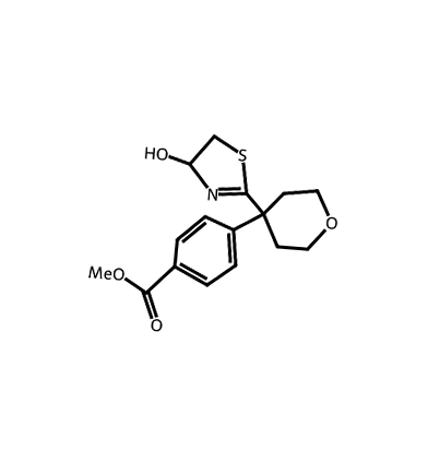 COC(=O)c1ccc(C2(C3=NC(O)CS3)CCOCC2)cc1